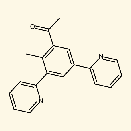 CC(=O)c1cc(-c2ccccn2)cc(-c2ccccn2)c1C